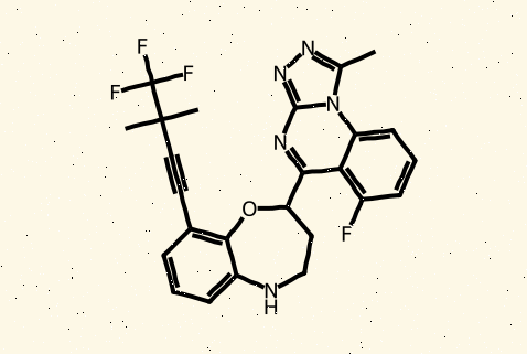 Cc1nnc2nc(C3CCNc4cccc(C#CC(C)(C)C(F)(F)F)c4O3)c3c(F)cccc3n12